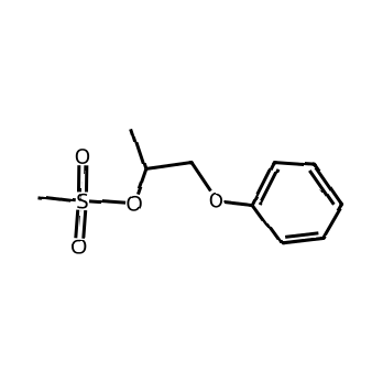 CC(COc1ccccc1)OS(C)(=O)=O